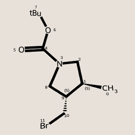 C[C@@H]1CN(C(=O)OC(C)(C)C)C[C@H]1CBr